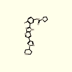 O=C(Nc1ccc(F)c(-c2nc3ncc(-c4cnn(C5CCNCC5)c4)cc3[nH]2)c1)N1CCCC1